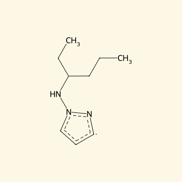 CCCC(CC)Nn1cc[c]n1